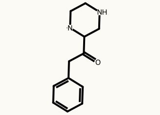 O=C(Cc1ccccc1)C1CNCC[N]1